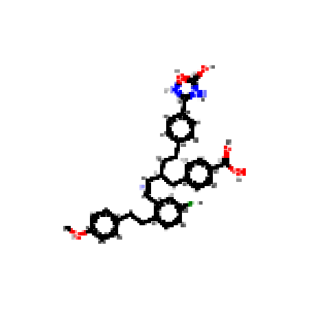 COc1ccc(CCc2ccc(F)cc2/C=C\C(CCc2ccc(-c3noc(=O)[nH]3)cc2)Cc2ccc(C(=O)O)cc2)cc1